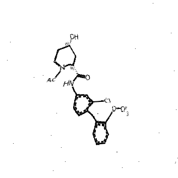 CC(=O)N1CC[C@H](O)C[C@@H]1C(=O)Nc1ccc(-c2ccccc2OC(F)(F)F)c(Cl)c1